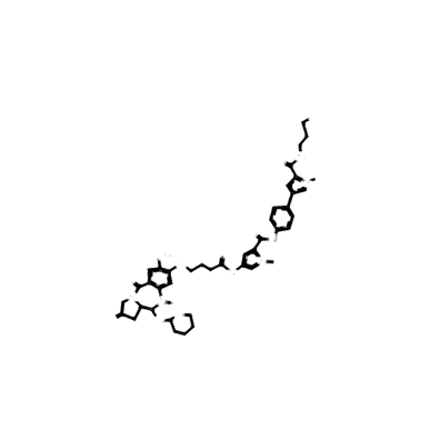 C=C1CC2C(OC3CCCCO3)N(C(=O)O)c3cc(OCCCC(=O)Nc4cc(C(=O)Nc5ccc(-c6cc(C(=O)NCCCO)n(C)c6)cc5)n(C)c4)c(OC)cc3C(=O)N2C1